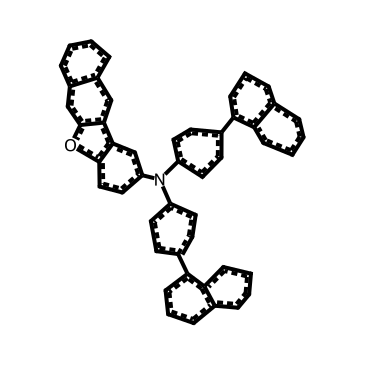 c1ccc2cc3c(cc2c1)oc1ccc(N(c2ccc(-c4cccc5ccccc45)cc2)c2ccc(-c4cccc5ccccc45)cc2)cc13